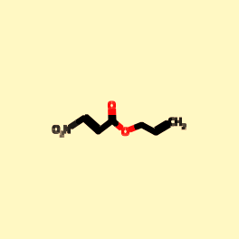 C=CCOC(=O)/C=C/[N+](=O)[O-]